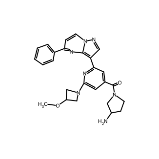 COC1CN(c2cc(C(=O)N3CCC(N)C3)cc(-c3cnn4ccc(-c5ccccc5)nc34)n2)C1